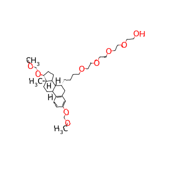 COCOc1ccc2c(c1)C[C@@H](CCCCOCCOCCOCCOCCO)[C@@H]1[C@@H]2CC[C@]2(C)[C@@H](OCOC)CC[C@@H]12